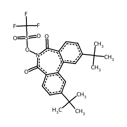 CC(C)(C)c1ccc2c(=O)n(OS(=O)(=O)C(F)(F)F)c(=O)c3ccc(C(C)(C)C)cc3c2c1